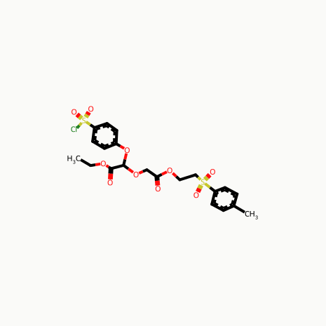 CCOC(=O)C(OCC(=O)OCCS(=O)(=O)c1ccc(C)cc1)Oc1ccc(S(=O)(=O)Cl)cc1